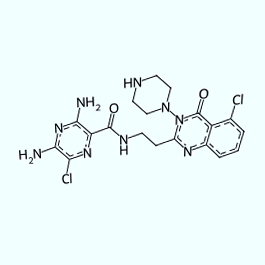 Nc1nc(N)c(C(=O)NCCc2nc3cccc(Cl)c3c(=O)n2N2CCNCC2)nc1Cl